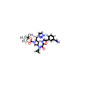 CC(C)(C)OC(=O)N1CC(N(C(=O)c2ncc(-c3cc(C#N)ccc3F)o2)C2CC2)CC1Cn1ccnn1